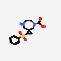 O=C(O)N1CCNCC2(CC2S(=O)(=O)c2ccccc2)C1